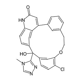 Cn1cnnc1C1(O)c2ccc(Cl)c(c2)OCCc2cccc(c2)-c2cc(=O)[nH]c3ccc1cc23